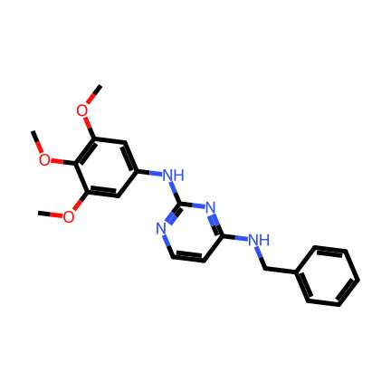 COc1cc(Nc2nccc(NCc3ccccc3)n2)cc(OC)c1OC